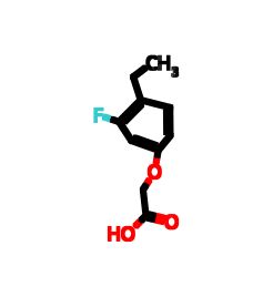 CCc1ccc(OCC(=O)O)cc1F